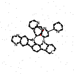 c1ccc(-n2c3cc4nccnc4cc3c3ccc4c5ccccc5n(-c5cc(-c6ccccn6)nc(-c6ccccn6)c5)c4c32)cc1